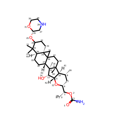 CC(C)[C@@H](OC(N)=O)[C@H]1C[C@@H](C)[C@H]2[C@H](O1)[C@H](O)[C@@]1(C)[C@@H]3CC[C@H]4C(C)(C)C(O[C@H]5CNCCO5)CC[C@@]45CC35CC[C@]21C